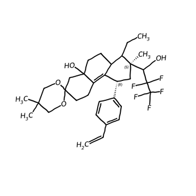 C=Cc1ccc([C@H]2C[C@](C)(C(O)C(F)(F)C(F)(F)F)C(CC)C3CCC4(O)CC5(CCC4=C32)OCC(C)(C)CO5)cc1